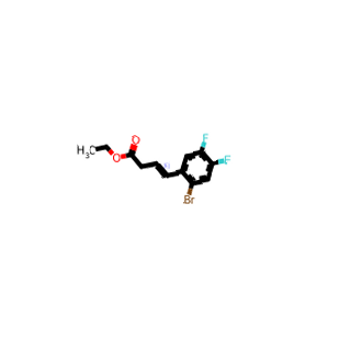 CCOC(=O)C/C=C/c1cc(F)c(F)cc1Br